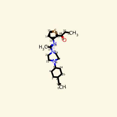 C#CC1CCC(N2CCN(/C(C)=N/c3ccsc3C(=O)CC)CC2)CC1